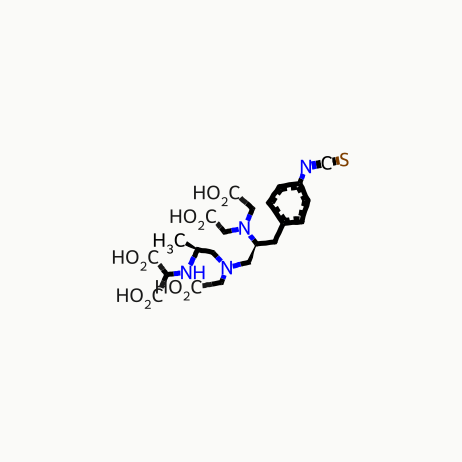 C[C@@H](CN(CC(=O)O)C[C@H](Cc1ccc(N=C=S)cc1)N(CC(=O)O)CC(=O)O)NC(C(=O)O)C(=O)O